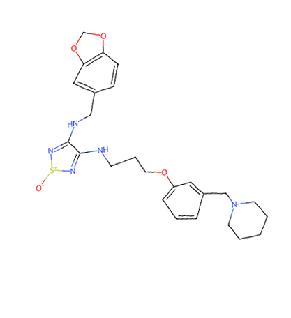 [O-][s+]1nc(NCCCOc2cccc(CN3CCCCC3)c2)c(NCc2ccc3c(c2)OCO3)n1